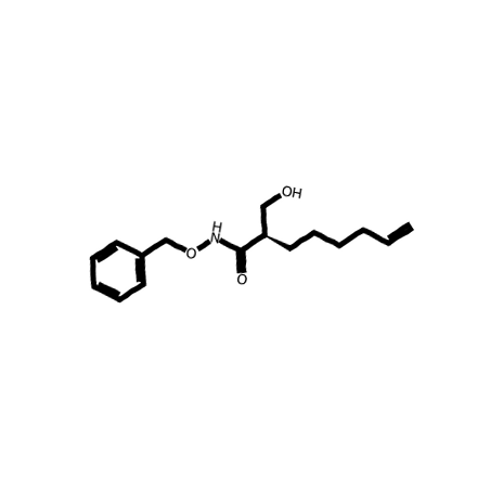 C=CCCCC[C@H](CO)C(=O)NOCc1ccccc1